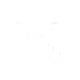 CCC(C)c1ccc(OC(Cc2cccn2C)OCC2CC3CCC2C3)cc1